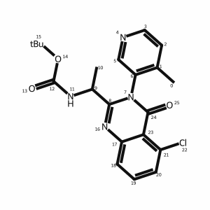 Cc1ccncc1-n1c(C(C)NC(=O)OC(C)(C)C)nc2cccc(Cl)c2c1=O